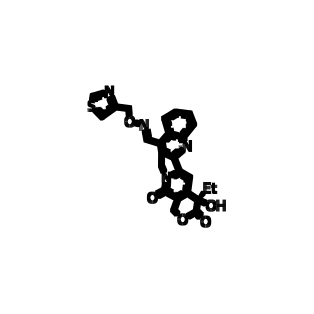 CC[C@@]1(O)C(=O)OCc2c1cc1n(c2=O)Cc2c-1nc1ccccc1c2C=NOCc1cscn1